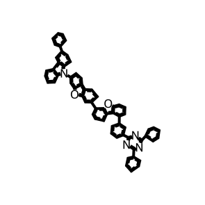 c1ccc(-c2ccc3c(c2)c2ccccc2n3-c2ccc3c(c2)oc2cc(-c4cccc5c4oc4cccc(-c6cccc(-c7nc(-c8ccccc8)nc(-c8ccccc8)n7)c6)c45)ccc23)cc1